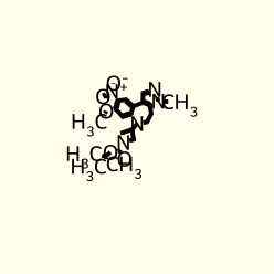 COc1cc2c(cc1[N+](=O)[O-])-c1cnn(C)c1CCN2C1CN(C(=O)OC(C)(C)C)C1